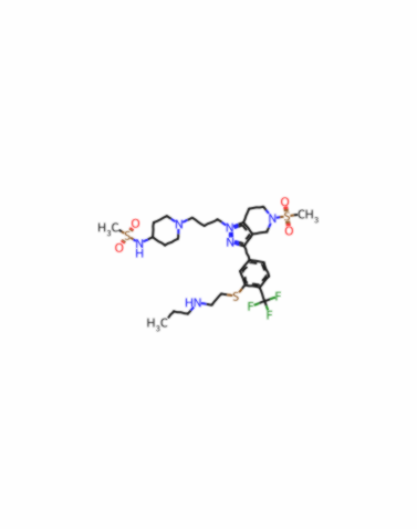 CCCNCCSc1cc(-c2nn(CCCN3CCC(NS(C)(=O)=O)CC3)c3c2CN(S(C)(=O)=O)CC3)ccc1C(F)(F)F